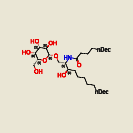 CCCCCCCCCCCCCCC[C@@H](O)[C@H](CO[C@@H]1O[C@H](CO)[C@H](O)[C@H](O)[C@H]1O)NC(=O)CCCCCCCCCCCCC